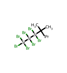 CC(C)C(C)(C)[Si](Br)(Br)[Si](Br)(Br)[Si](Br)(Br)Br